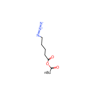 CCCCC(=O)OC(=O)CCCCN=[N+]=[N-]